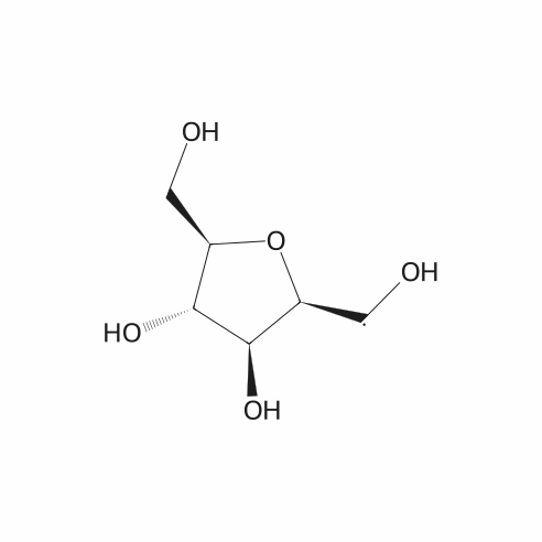 O[CH][C@@H]1O[C@H](CO)[C@@H](O)[C@@H]1O